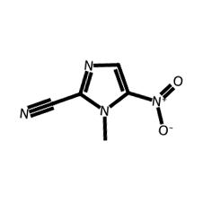 Cn1c([N+](=O)[O-])cnc1C#N